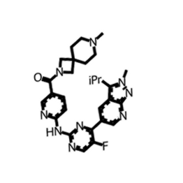 CC(C)c1c2cc(-c3nc(Nc4ccc(C(=O)N5CC6(CCN(C)CC6)C5)cn4)ncc3F)cnc2nn1C